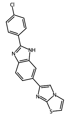 Clc1ccc(-c2nc3ccc(-c4cn5ccsc5n4)cc3[nH]2)cc1